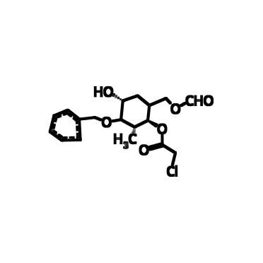 C[C@@H]1C(OCc2ccccc2)[C@H](O)CC(COC=O)[C@H]1OC(=O)CCl